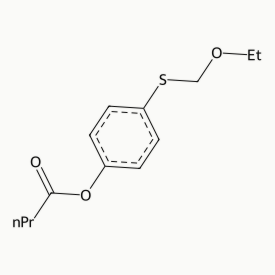 CCCC(=O)Oc1ccc(SCOCC)cc1